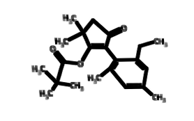 CCc1cc(C)cc(C)c1C1=C(OC(=O)C(C)(C)C)C(C)(C)CC1=O